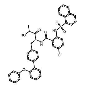 CC(O)C(=O)[C@H](Cc1ccc(-c2ccccc2Oc2ccccc2)cc1)NC(=O)c1cc(Cl)ccc1NS(=O)(=O)c1cccc2ccccc12